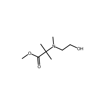 COC(=O)C(C)(C)N(C)CCO